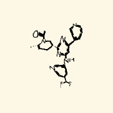 CC(=O)N1C[C@H](c2nc(Nc3cncc(C(F)F)c3)cc(-c3cccnc3)n2)CC[C@@H]1C